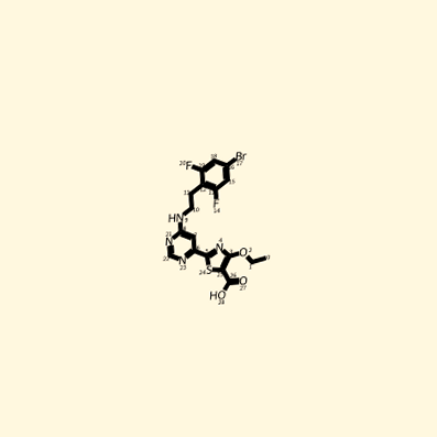 CCOc1nc(-c2cc(NCCc3c(F)cc(Br)cc3F)ncn2)sc1C(=O)O